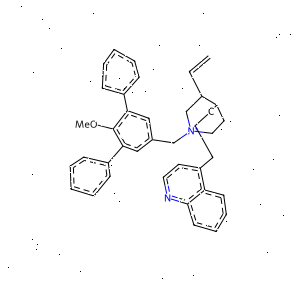 C=CC1C[N+]2(Cc3cc(-c4ccccc4)c(OC)c(-c4ccccc4)c3)CCC1CC2Cc1ccnc2ccccc12